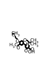 COCCCOc1cc2c(cc1C(C)=O)-c1cc(=O)c(C(=O)O)cn1[C@H](C(C)C)CO2